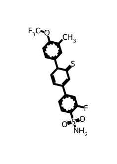 Cc1cc(C2C=CC(c3ccc(S(N)(=O)=O)c(F)c3)=CC2=S)ccc1OC(F)(F)F